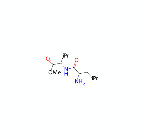 COC(=O)C(NC(=O)C(N)CC(C)C)C(C)C